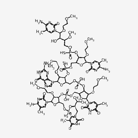 COCCOC1C(OP(=O)(O)OCC2OC(n3cc(C)c(=O)[nH]c3=O)C(OCCOC)C2OP(=O)(O)OCC2OC(n3cnc4c(=O)[nH]c(N)nc43)C(OCCOC)C2OP(=O)(S)OCC2OC(n3cc(C)c(N)nc3=O)C(OCCOC)C2OP(=O)(S)OCC(OC)C(O)C(OCCOC)n2cc(C)c(N)nc2=O)C(COP(=O)(S)O[C@H](Cn2cc(C)c(=O)[nH]c2=O)C(C)C)OC1n1cc(C)c(N)nc1=O